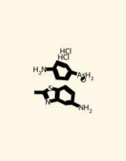 Cc1nc2cc(N)ccc2s1.Cl.Cl.Nc1ccc([AsH2]=O)cc1